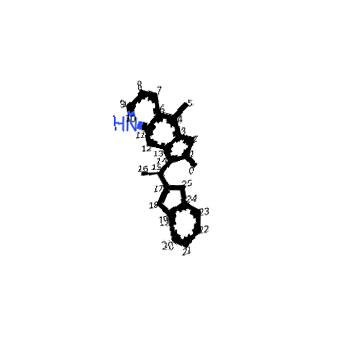 Cc1cc2c(C)c3ccc[nH]c3cc2c1[C@H](C)C1=Cc2ccccc2C1